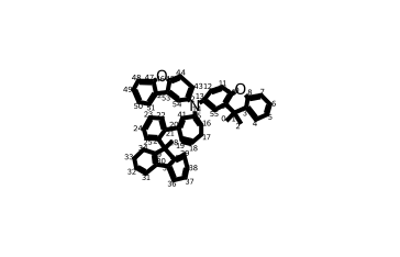 CC1(C)c2ccccc2Oc2ccc(N(C3=CCC#CC(c4ccccc4C4(C)C5=C(C=CCC5)c5ccccc54)=C3)c3ccc4oc5ccccc5c4c3)cc21